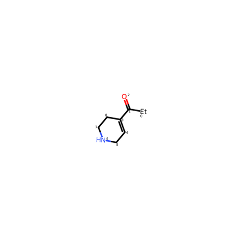 CCC(=O)C1=CCNCC1